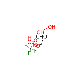 O=CO.O=S(=O)(O)C(F)(F)F.OCC#CCO